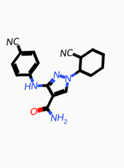 N#Cc1ccc(Nc2nn(C3CCCCC3C#N)cc2C(N)=O)cc1